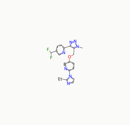 CCc1nccn1-c1ccc(OCc2c(-c3ccc(C(F)F)cn3)nnn2C)bn1